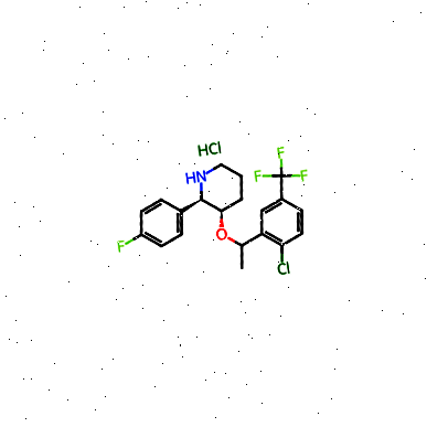 CC(O[C@@H]1CCCN[C@@H]1c1ccc(F)cc1)c1cc(C(F)(F)F)ccc1Cl.Cl